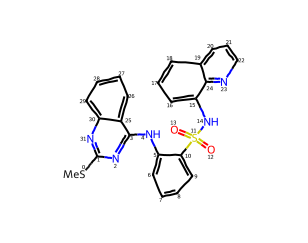 CSc1nc(Nc2ccccc2S(=O)(=O)Nc2cccc3cccnc23)c2ccccc2n1